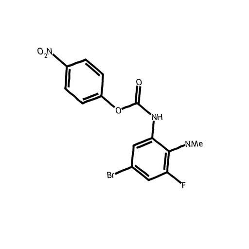 CNc1c(F)cc(Br)cc1NC(=O)Oc1ccc([N+](=O)[O-])cc1